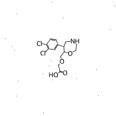 O=C(O)COCC1OCCNCC1c1ccc(Cl)c(Cl)c1